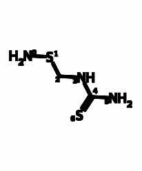 NSCNC(N)=S